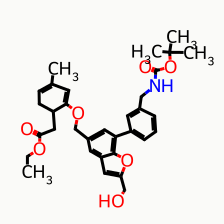 CCOC(=O)CC1CC=C(C)C=C1OCc1cc(-c2cccc(CNC(=O)OC(C)(C)C)c2)c2oc(CO)cc2c1